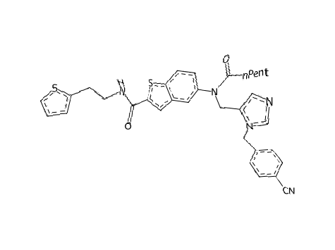 CCCCCC(=O)N(Cc1cncn1Cc1ccc(C#N)cc1)c1ccc2sc(C(=O)NCCc3cccs3)cc2c1